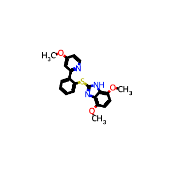 COc1ccnc(-c2ccccc2Sc2nc3c(OC)ccc(OC)c3[nH]2)c1